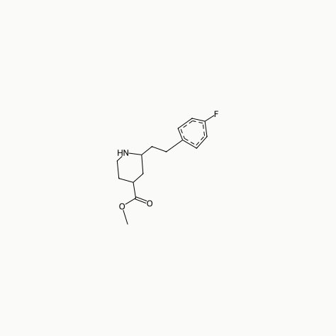 COC(=O)C1CCNC(CCc2ccc(F)cc2)C1